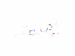 CC(C)NCc1cn(CC(=O)Nc2sc3c(c2C(N)=O)CCCC3)nc1C(F)(F)F